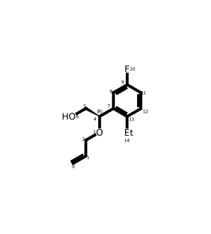 C=CCO[C@@H](CO)c1cc(F)ccc1CC